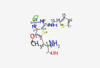 COc1c(CC(N)CO)sc2c(NCc3cccs3)nc(Cl)nc12